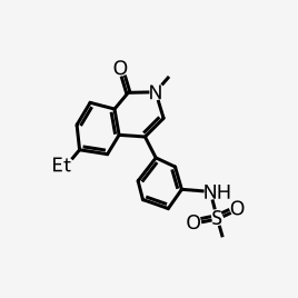 CCc1ccc2c(=O)n(C)cc(-c3cccc(NS(C)(=O)=O)c3)c2c1